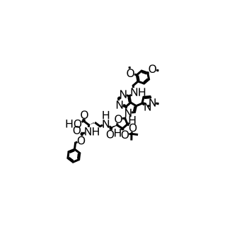 COc1ccc(CNc2ncnc3c2c(-c2ccn(C)n2)cn3[C@@H]2O[C@H](C(=O)NCC[C@H](NC(=O)OCc3ccccc3)C(=O)O)[C@H]3OC(C)(C)O[C@H]32)c(OC)c1